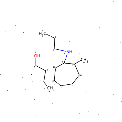 CCCCO.CCCNC1CCCCCC1C